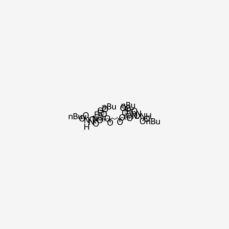 CCCCOC(=O)Nc1ccn([C@H]2O[C@@H](COC(=O)CCCC(=O)OC[C@H]3O[C@@H](n4ccc(NC(=O)OCCCC)nc4=O)C(F)(F)[C@@H]3OC(=O)OCCCC)[C@H](OC(=O)OCCCC)C2(F)F)c(=O)n1